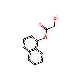 O=C(CO)Oc1cccc2ccccc12